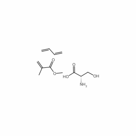 C=C(C)C(=O)OC.C=CC=C.N[C@@H](CO)C(=O)O